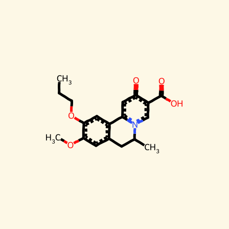 CCCOc1cc2c(cc1OC)CC(C)n1cc(C(=O)O)c(=O)cc1-2